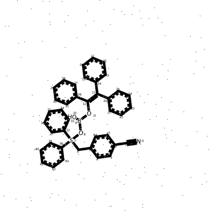 N#Cc1ccc(CS(OB(O)OC(=C(c2ccccc2)c2ccccc2)c2ccccc2)(c2ccccc2)c2ccccc2)cc1